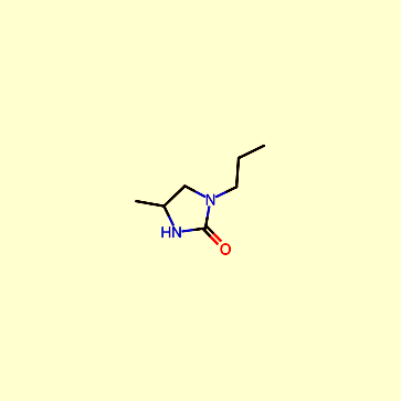 CCCN1CC(C)NC1=O